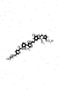 Cc1c(NC(=O)c2ccc(CNCCO)cn2)cccc1-c1ccnc(C=Cc2cc(Cl)c3oc(Cn4ccc(C(=O)O)c4C)nc3c2)c1C#N